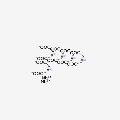 O=C([O-])/C=C\C(=O)[O-].O=C([O-])/C=C\C(=O)[O-].O=C([O-])/C=C\C(=O)[O-].O=C([O-])/C=C\C(=O)[O-].O=C([O-])/C=C\C(=O)[O-].[Nb+5].[Nb+5]